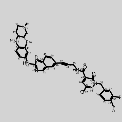 CN1CCC(Nc2ccc(Nc3ncc4cc(C#CCNC(=O)c5cc(Cl)nn(Cc6ccc(F)c(F)c6)c5=O)ccc4n3)cc2F)CC1